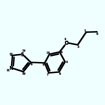 CCCOc1cccc(-c2cn[c]s2)c1